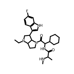 CCN1CC(c2c[nH]c3cc(F)ccc23)C2C1CCN2C(=O)C(NC(=O)C(C)NC)C1CCCCC1